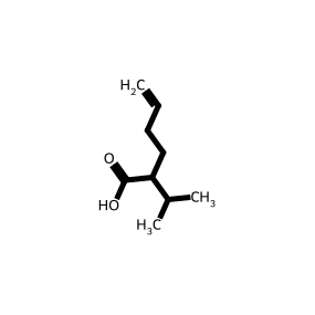 C=CCCC(C(=O)O)C(C)C